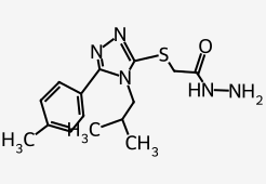 Cc1ccc(-c2nnc(SCC(=O)NN)n2CC(C)C)cc1